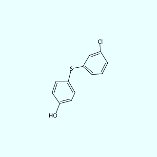 Oc1ccc(Sc2cccc(Cl)c2)cc1